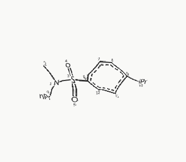 CCCN(C)S(=O)(=O)c1ccc(C(C)C)cc1